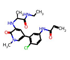 C=CC(=O)Nc1ccc(Cl)c(-c2cc(N[C@@H](C)C(=O)NCC)c(=O)n(C)c2)c1